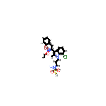 CCO/N=C(/Cc1ccccc1Br)c1c(C)n(CCCNS(C)(=O)=O)c2c(Cl)cccc12